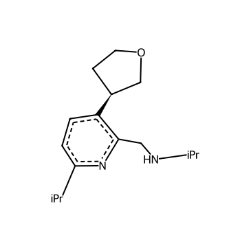 CC(C)NCc1nc(C(C)C)ccc1[C@H]1CCOC1